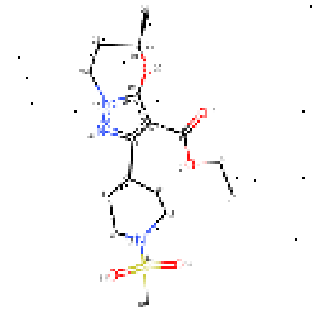 CCOC(=O)c1c(C2CCN(S(C)(=O)=O)CC2)nn2c1O[C@H](C)CC2